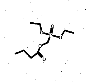 CCCC(=O)OCP(=O)(OCC)OCC